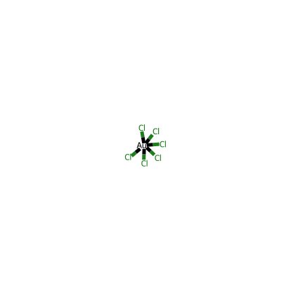 [Cl][Au]([Cl])([Cl])([Cl])([Cl])[Cl]